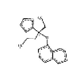 CC[C@](CCN)(Oc1cccc2ccccc12)c1cccs1